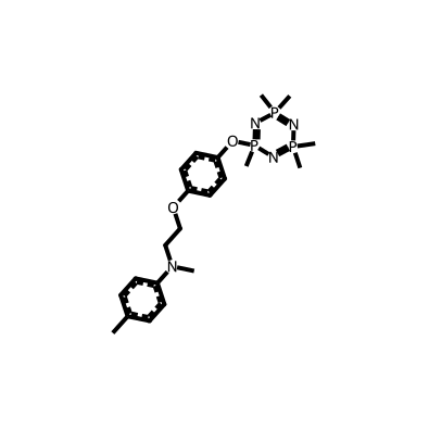 Cc1ccc(N(C)CCOc2ccc(OP3(C)=NP(C)(C)=NP(C)(C)=N3)cc2)cc1